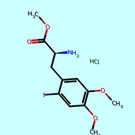 COC(=O)[C@@H](N)Cc1cc(OC)c(OC)cc1I.Cl